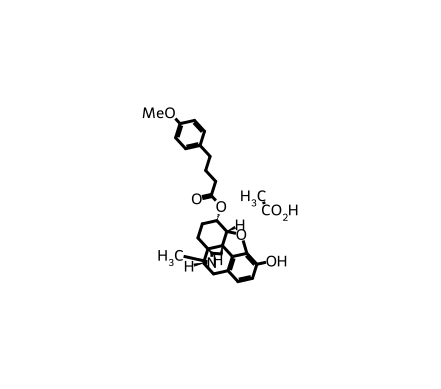 CC(=O)O.COc1ccc(CCCC(=O)O[C@H]2CC[C@H]3[C@H]4Cc5ccc(O)c6c5[C@@]3(CCN4C)[C@H]2O6)cc1